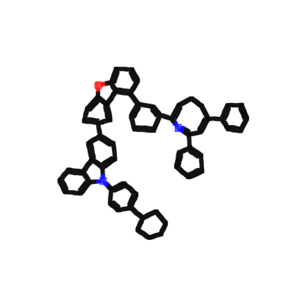 C1=C(c2cccc(-c3cccc4oc5ccc(-c6ccc7c(c6)c6ccccc6n7-c6ccc(C7CCCCC7)cc6)cc5c34)c2)/N=C(c2ccccc2)\C=C(\c2ccccc2)CC\1